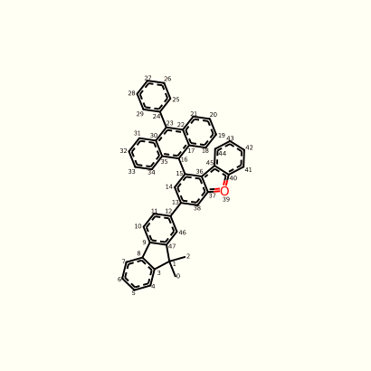 CC1(C)c2ccccc2-c2ccc(-c3cc(-c4c5ccccc5c(-c5ccccc5)c5ccccc45)c4c(c3)oc3ccccc34)cc21